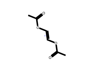 CC(=O)O/C=C/OC(C)=O